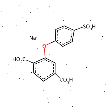 O=C(O)c1ccc(C(=O)O)c(Oc2ccc(S(=O)(=O)O)cc2)c1.[Na]